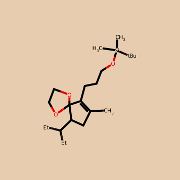 CCC(CC)C1CC(C)=C(CCCO[Si](C)(C)C(C)(C)C)C12OCCO2